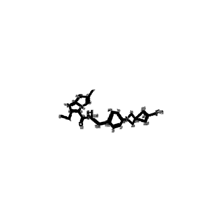 CCc1nc2sc(C)cn2c1C(=O)NCc1ccc(N2CC3(CC(F)C3)C2)cc1